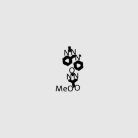 COC(=O)c1cnc(Oc2cccc(N(C)c3nc(C)nc4ccccc34)c2)nc1